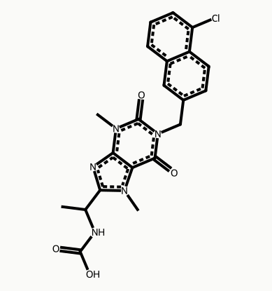 CC(NC(=O)O)c1nc2c(c(=O)n(Cc3ccc4c(Cl)cccc4c3)c(=O)n2C)n1C